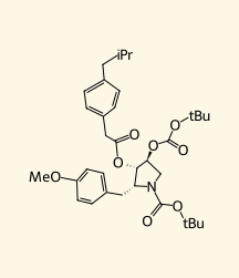 COc1ccc(C[C@@H]2[C@H](OC(=O)Cc3ccc(CC(C)C)cc3)[C@@H](OC(=O)OC(C)(C)C)CN2C(=O)OC(C)(C)C)cc1